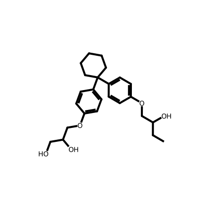 CCC(O)COc1ccc(C2(c3ccc(OCC(O)CO)cc3)CCCCC2)cc1